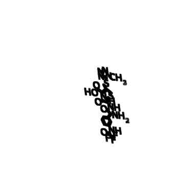 Cn1nnnc1SCC1=C(C(=O)O)N2C(=O)C(NC(=O)C(N)c3cccc(NC(=O)C(F)(F)F)c3)[C@H]2SC1